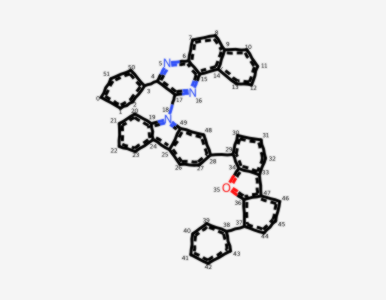 c1ccc(-c2nc3ccc4ccccc4c3nc2-n2c3ccccc3c3ccc(-c4cccc5c4oc4c(-c6ccccc6)cccc45)cc32)cc1